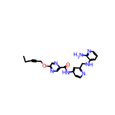 CCC#CCOc1cnc(C(=O)Nc2ccnc(CNc3cccnc3N)c2)cn1